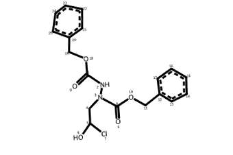 O=C(NN(CC(O)Cl)C(=O)OCc1ccccc1)OCc1ccccc1